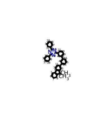 CC1(C)C2=C(C=CCC2)c2ccc(-c3cccc(C4=CC=CC(c5nc(C6C=CC=CC6)nc(C6C=CC=CC6)n5)C4)c3)cc21